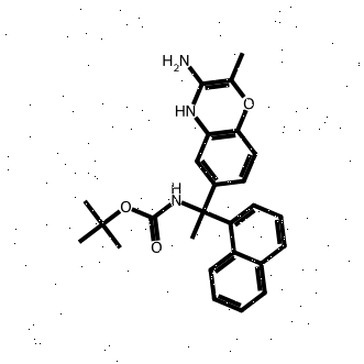 CC1=C(N)Nc2cc(C(C)(NC(=O)OC(C)(C)C)c3cccc4ccccc34)ccc2O1